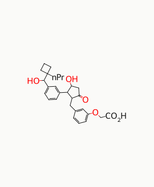 CCCC1(C(O)c2cccc(C3C(O)CC(=O)C3Cc3cccc(OCC(=O)O)c3)c2)CCC1